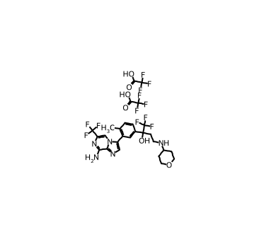 Cc1ccc(C(O)(CCNC2CCOCC2)C(F)(F)F)cc1-c1cnc2c(N)nc(C(F)(F)F)cn12.O=C(O)C(F)(F)F.O=C(O)C(F)(F)F